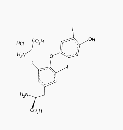 Cl.NCC(=O)O.N[C@@H](Cc1cc(I)c(Oc2ccc(O)c(I)c2)c(I)c1)C(=O)O